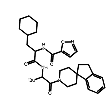 CCC(C)C(NC(=O)C(CC1CCCCC1)NC(=O)c1ccno1)C(=O)N1CCC2(CCc3ccccc32)CC1